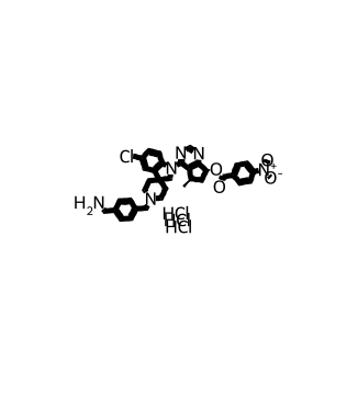 C[C@@H]1C[C@@H](OC(=O)c2ccc([N+](=O)[O-])cc2)c2ncnc(N3CC4(CCN(Cc5ccc(CN)cc5)CC4)c4cc(Cl)ccc43)c21.Cl.Cl.Cl